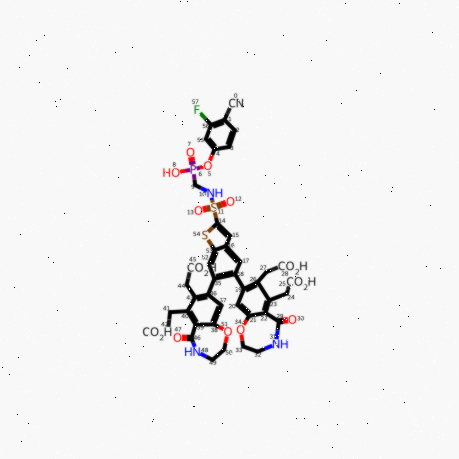 N#Cc1ccc(OP(=O)(O)CNS(=O)(=O)c2cc3cc(-c4cc5c(c(CC(=O)O)c4CC(=O)O)C(=O)NCCO5)c(-c4cc5c(c(CC(=O)O)c4CC(=O)O)C(=O)NCCO5)cc3s2)cc1F